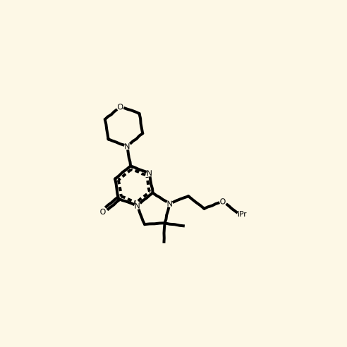 CC(C)OCCN1c2nc(N3CCOCC3)cc(=O)n2CC1(C)C